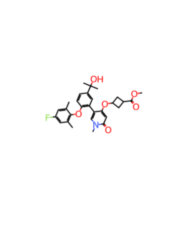 COC(=O)C1CC(Oc2cc(=O)n(C)cc2-c2cc(C(C)(C)O)ccc2Oc2c(C)cc(F)cc2C)C1